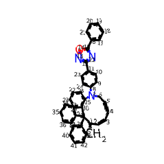 C=C1/C=C\C=C/CN(c2ccc(-c3noc(-c4ccccc4)n3)cc2)c2ccccc2C1(c1ccccc1)c1ccccc1